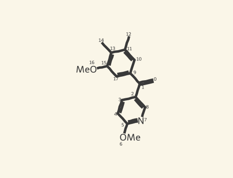 C=C(c1ccc(OC)nc1)c1cc(C)c(C)c(OC)c1